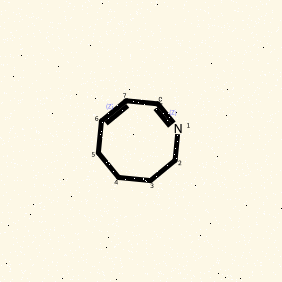 [C]1=N\CCCC\C=C/1